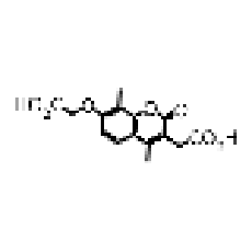 Cc1c(CC(=O)O)c(=O)oc2c(C)c(OCC(=O)O)ccc12